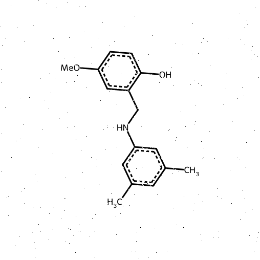 COc1ccc(O)c(CNc2cc(C)cc(C)c2)c1